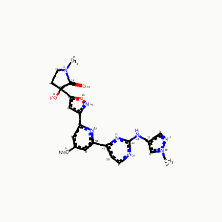 COc1cc(-c2cc(C3(O)CCN(C)C3=O)on2)nc(-c2ccnc(Nc3cnn(C)c3)n2)c1